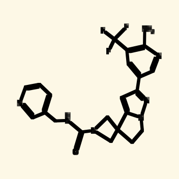 Nc1ncc(-c2cc3n(n2)CCC32CN(C(=O)NCc3cccnc3)C2)cc1C(F)(F)F